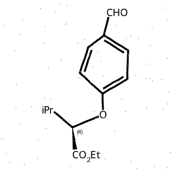 CCOC(=O)[C@H](Oc1ccc(C=O)cc1)C(C)C